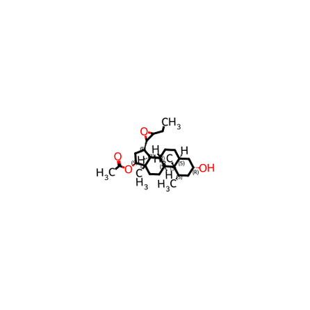 CCC1OC1[C@@H]1C[C@H](OC(C)=O)[C@@]2(C)CC[C@H]3[C@@H](CC[C@H]4C[C@H](O)C[C@H](C)[C@@]43C)[C@H]12